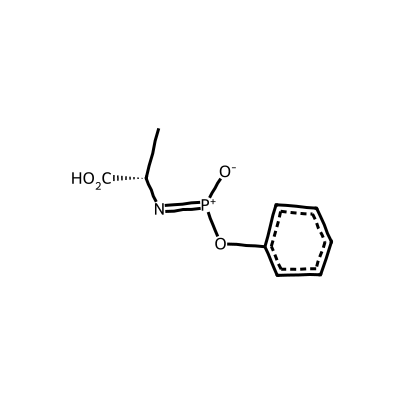 C[C@H](N=[P+]([O-])Oc1ccccc1)C(=O)O